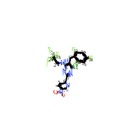 O=[N+]([O-])c1ccc(-c2nc(Cl)c(Cc3c(F)cc(F)cc3F)c(NCC(F)(F)F)n2)nc1